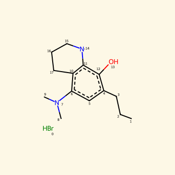 Br.CCCc1cc(N(C)C)c2c(c1O)[N]CCC2